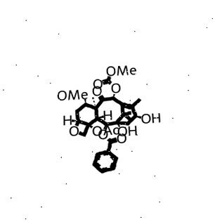 COC(=O)O[C@H]1C(=O)[C@]2(C)[C@@H](OC)C[C@H]3OC[C@@]3(OC(C)=O)[C@H]2[C@H](OC(=O)c2ccccc2)[C@]2(O)C[C@H](O)C(C)=C1C2(C)C